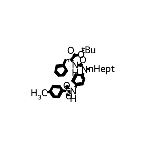 CCCCCCCN(C(=O)N[C@H](Cc1ccccc1)C(=O)OC(C)(C)C)c1ccc(NS(=O)(=O)c2ccc(C)cc2)cc1